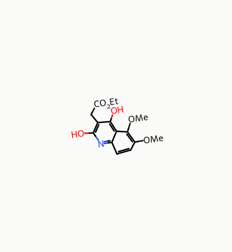 CCOC(=O)Cc1c(O)nc2ccc(OC)c(OC)c2c1O